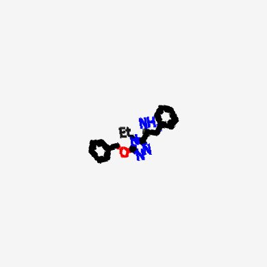 CCn1c(OCc2ccccc2)nnc1[C@H](N)Cc1ccccc1